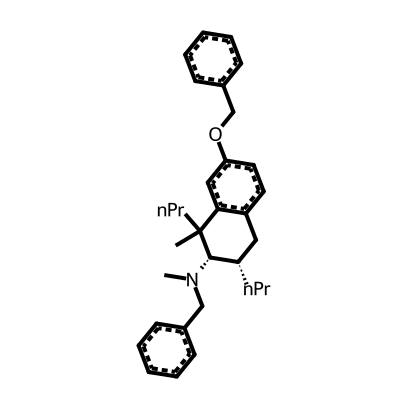 CCC[C@H]1Cc2ccc(OCc3ccccc3)cc2C(C)(CCC)[C@H]1N(C)Cc1ccccc1